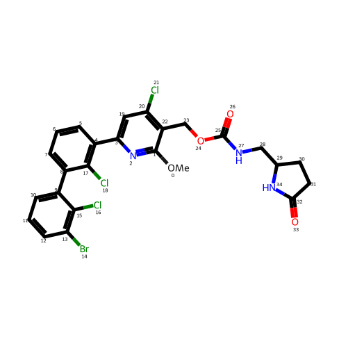 COc1nc(-c2cccc(-c3cccc(Br)c3Cl)c2Cl)cc(Cl)c1COC(=O)NCC1CCC(=O)N1